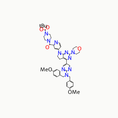 COc1ccc(CN(Cc2ccc(OC)cc2)c2ncc(-c3nc(N4CCOCC4)nc4c3CCN4c3ccnc(C(=O)N4CCN(C(=O)OC(C)(C)C)CC4)c3)cn2)cc1